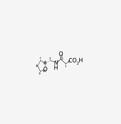 O=C(O)CC(=O)NC[C@H]1CCCO1